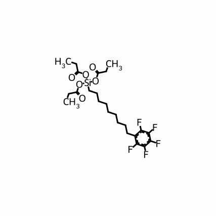 CCC(=O)O[Si](CCCCCCCCCc1c(F)c(F)c(F)c(F)c1F)(OC(=O)CC)OC(=O)CC